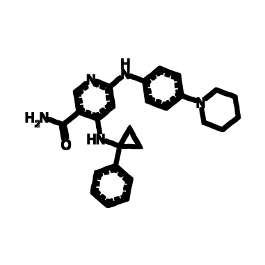 NC(=O)c1cnc(Nc2ccc(N3CCCCC3)cc2)cc1NC1(c2ccccc2)CC1